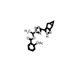 CC(=O)Oc1ccccc1C(=O)OC(C)n1nnc(-c2[nH]nc3c2CC2CC32)n1